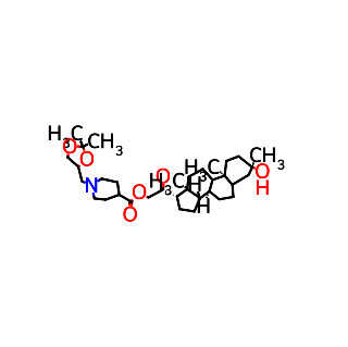 CC1(C)OCC(CN2CCC(C(=O)OCC(=O)[C@H]3CC[C@H]4[C@@H]5CCC6C[C@](C)(O)CC[C@]6(C)C5CC[C@]34C)CC2)O1